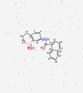 O=C(Nc1ccc2c(c1)B(O)OCC2)c1cccc2ccccc12